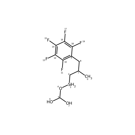 CC(C[SiH2]OC(O)O)Cc1c(F)c(F)c(F)c(F)c1F